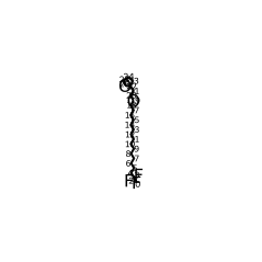 FC(F)(F)CCCCCCCCCCCCCCCOCCC1CCCO1